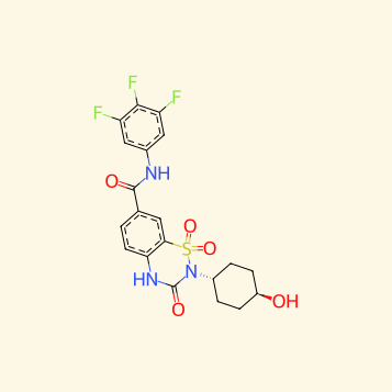 O=C(Nc1cc(F)c(F)c(F)c1)c1ccc2c(c1)S(=O)(=O)N([C@H]1CC[C@H](O)CC1)C(=O)N2